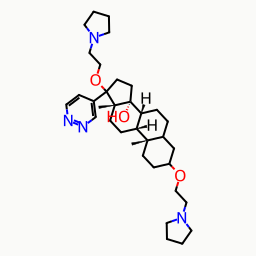 C[C@]12CCC(OCCN3CCCC3)CC1CC[C@@H]1[C@H]2CC[C@]2(C)C(OCCN3CCCC3)(c3ccnnc3)CC[C@@]12O